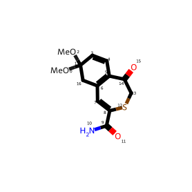 COC1(OC)C=CC2=C(C=C(C(N)=O)SCC2=O)C1